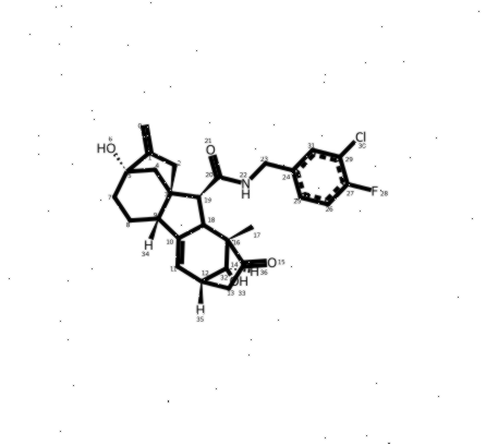 C=C1C[C@]23C[C@@]1(O)CC[C@H]2C1=C[C@H]2CC(=O)[C@@](C)(C1[C@@H]3C(=O)NCc1ccc(F)c(Cl)c1)[C@H]2O